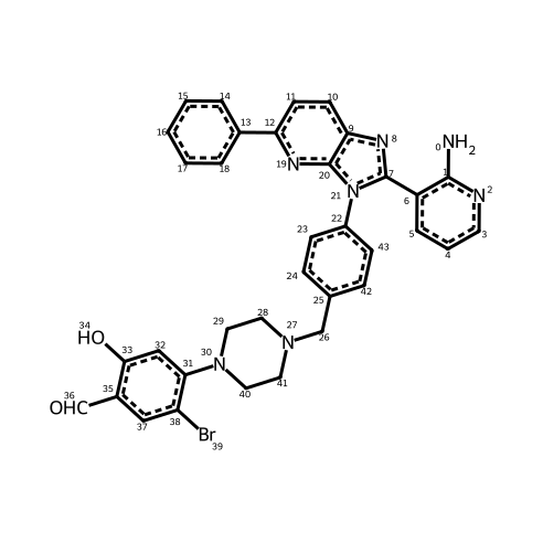 Nc1ncccc1-c1nc2ccc(-c3ccccc3)nc2n1-c1ccc(CN2CCN(c3cc(O)c(C=O)cc3Br)CC2)cc1